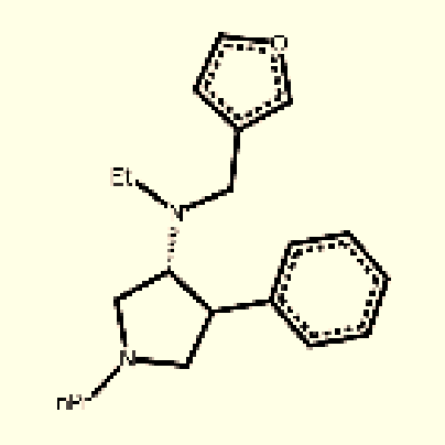 C[CH]CN1CC(c2ccccc2)[C@@H](N(CC)Cc2ccoc2)C1